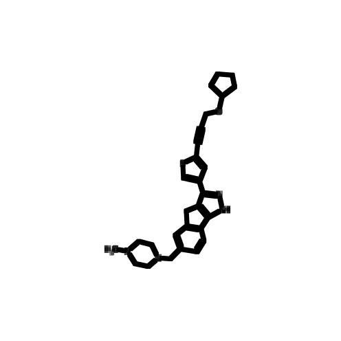 CN1CCN(Cc2ccc3c(c2)Cc2c(-c4csc(C#CCOC5CCCC5)c4)n[nH]c2-3)CC1